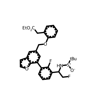 CCOC(=O)Cc1ccccc1OCc1cc(-c2cccc(C(CF)N[S+]([O-])C(C)(C)C)c2F)c2occc2c1